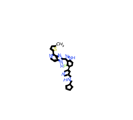 Cc1ccc(-c2nccc3[nH]c(-c4n[nH]c5ccc(-c6cncc(CNCC7CCCC7)c6)c(F)c45)nc23)s1